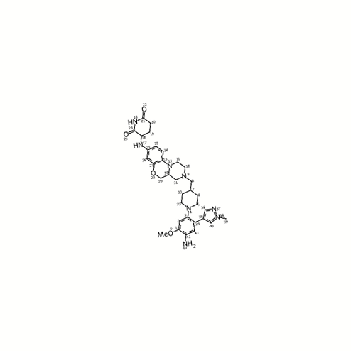 COc1cc(N2CCC(CN3CCN4c5ccc(NC6CCC(=O)NC6=O)cc5OCC4C3)CC2)c(-c2cnn(C)c2)cc1N